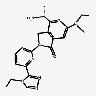 CCN(C)c1cc2c(c([C@@H](C)N)n1)CN(c1cccc(-c3nncn3CC)n1)C2=O